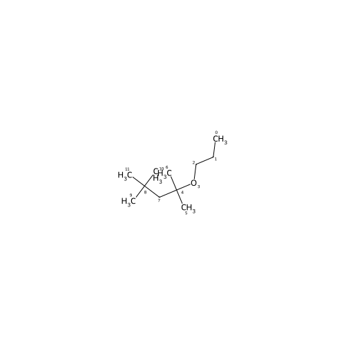 CCCOC(C)(C)CC(C)(C)C